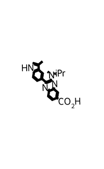 Cc1c[nH]c2ccc(-c3nc4ccc(C(=O)O)cc4nc3N(C)C(C)C)cc12